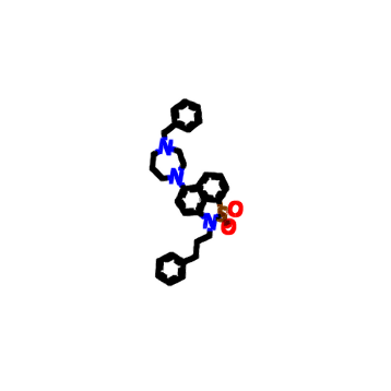 O=S1(=O)c2cccc3c(N4CCCN(Cc5ccccc5)CC4)ccc(c23)N1CCCc1ccccc1